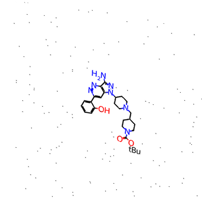 CC(C)(C)OC(=O)N1CCC(CN2CCC(n3nc(N)c4nnc(-c5ccccc5O)cc43)CC2)CC1